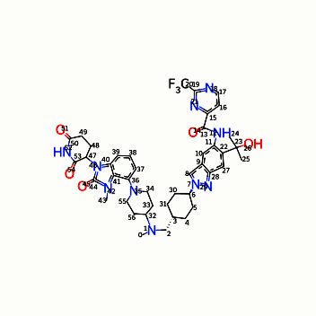 CN(C[C@H]1CC[C@H](n2cc3cc(NC(=O)c4ccnc(C(F)(F)F)n4)c(C(C)(C)O)cc3n2)CC1)C1CCN(c2cccc3c2n(C)c(=O)n3C2CCC(=O)NC2=O)CC1